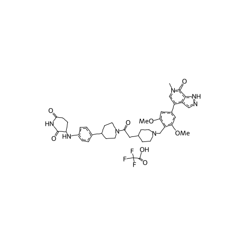 COc1cc(-c2cn(C)c(=O)c3[nH]ncc23)cc(OC)c1CN1CCC(CC(=O)N2CCC(c3ccc(NC4CCC(=O)NC4=O)cc3)CC2)CC1.O=C(O)C(F)(F)F